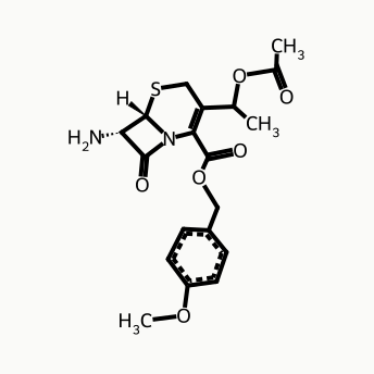 COc1ccc(COC(=O)C2=C(C(C)OC(C)=O)CS[C@H]3[C@@H](N)C(=O)N23)cc1